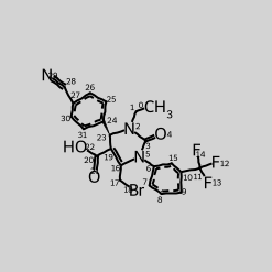 CCN1C(=O)N(c2cccc(C(F)(F)F)c2)C(CBr)=C(C(=O)O)[C@H]1c1ccc(C#N)cc1